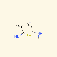 C=C(C(=N)S)/C(C)=C\CNC